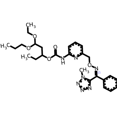 CCCOC(CC(CC)OC(=O)Nc1cccc(CO/N=C(/c2ccccc2)c2nnnn2C)n1)OCC